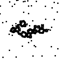 O=C1CCC(N2Cc3c(ccc4c3OCC43CCN(Cc4nn(CC5COCCO5)c5ccccc45)CC3)C2=O)C(=O)N1